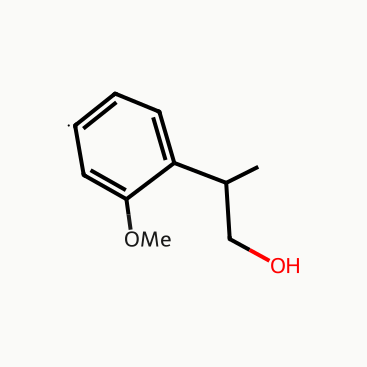 COc1c[c]ccc1C(C)CO